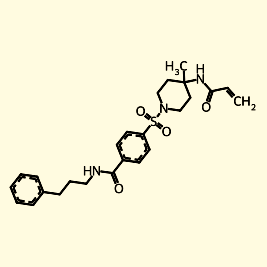 C=CC(=O)NC1(C)CCN(S(=O)(=O)c2ccc(C(=O)NCCCc3ccccc3)cc2)CC1